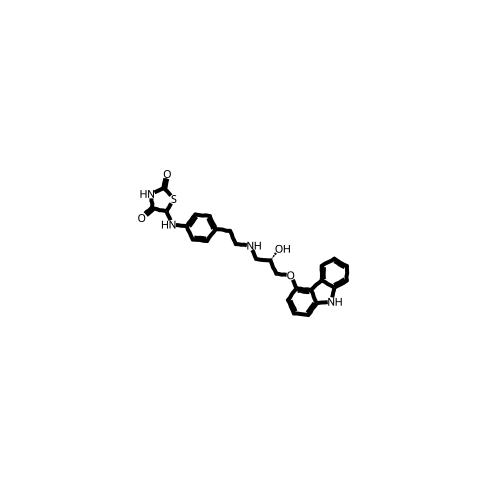 O=C1NC(=O)C(Nc2ccc(CCNC[C@H](O)COc3cccc4[nH]c5ccccc5c34)cc2)S1